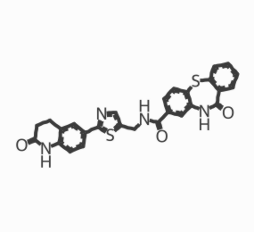 O=C1CCc2cc(-c3ncc(CNC(=O)c4ccc5c(c4)NC(=O)c4ccccc4S5)s3)ccc2N1